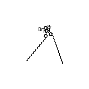 CCCCCCCCCCCCCCCCCCCCc1ccc(-c2nc3c(Br)ccc(Br)c3nc2-c2ccc(CCCCCCCCCCCCCCCCCCCC)cc2)cc1